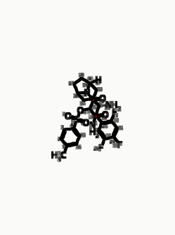 Cc1ccc(S(=O)(=O)OC(C(N)=O)C(=O)N2C3CC[C@@H]2CC([C@H](N)Cc2cc(F)c(F)cc2F)C3)cc1